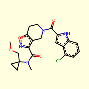 COCC1(N(C)C(=O)c2noc3c2CN(C(=O)c2cc4c(Cl)cccc4[nH]2)CC3)CC1